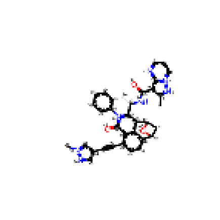 Cc1nn2cccnc2c1C(=O)N[C@@H](C)c1c2c3c(ccc(C#Cc4cnn(C)c4)c3c(=O)n1-c1ccccc1)C1CC2O1